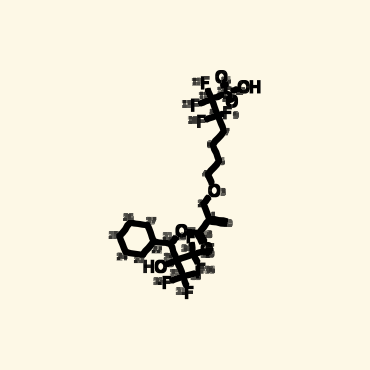 C=C(COCCCCC(F)(F)C(F)(F)S(=O)(=O)O)C(=O)OC(C1CCCCC1)C(O)(C(F)(F)F)C(F)(F)F